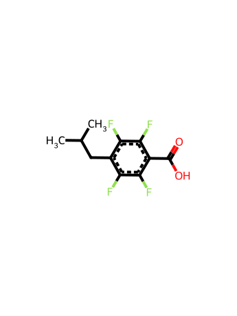 CC(C)Cc1c(F)c(F)c(C(=O)O)c(F)c1F